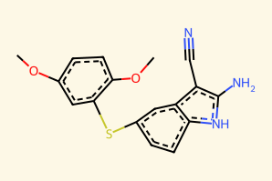 COc1ccc(OC)c(Sc2ccc3[nH]c(N)c(C#N)c3c2)c1